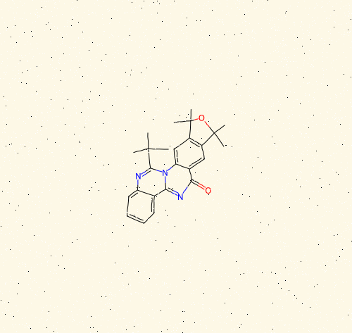 CC(C)(C)c1nc2ccccc2c2nc(=O)c3cc4c(cc3n12)C(C)(C)OC4(C)C